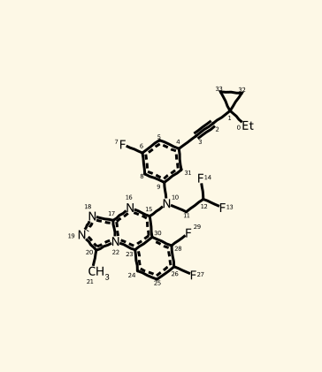 CCC1(C#Cc2cc(F)cc(N(CC(F)F)c3nc4nnc(C)n4c4ccc(F)c(F)c34)c2)CC1